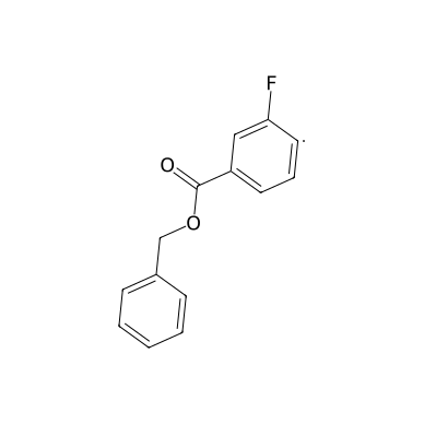 O=C(OCc1ccccc1)c1cc[c]c(F)c1